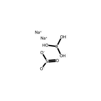 O=[Si]([O-])[O-].OB(O)O.[Na+].[Na+]